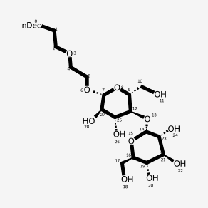 CCCCCCCCCCCCOCCO[C@@H]1O[C@H](CO)[C@@H](O[C@H]2O[C@H](CO)[C@@H](O)[C@H](O)[C@H]2O)[C@H](O)[C@H]1O